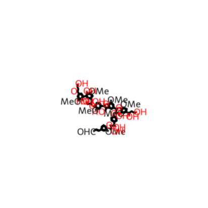 COc1cc(C=CC=O)ccc1OC(CO)C(O)c1ccc(OC(CO)C(Oc2c(OC)cc(C(O)CCO)cc2OC)c2cc(OC)c3c(c2)C(CO)C(c2ccc(OC(CO)C(O)c4cc(OC)c(O)c(-c5cc(C(=O)CCO)cc(OC)c5O)c4)c(OC)c2)O3)cc1